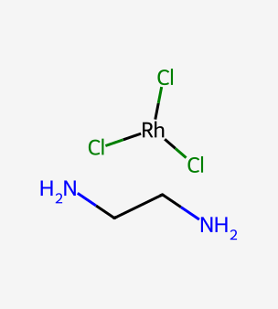 NCCN.[Cl][Rh]([Cl])[Cl]